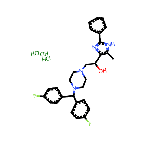 Cc1[nH]c(-c2ccccc2)nc1C(O)CN1CCN(C(c2ccc(F)cc2)c2ccc(F)cc2)CC1.Cl.Cl.Cl